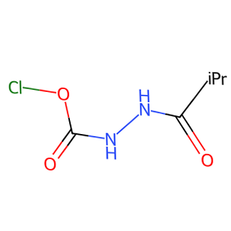 CC(C)C(=O)NNC(=O)OCl